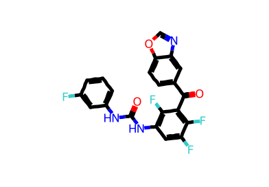 O=C(Nc1cccc(F)c1)Nc1cc(F)c(F)c(C(=O)c2ccc3ocnc3c2)c1F